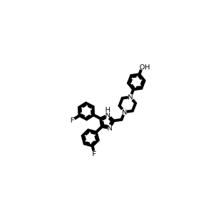 Oc1ccc(N2CCN(Cc3nc(-c4cccc(F)c4)c(-c4cccc(F)c4)[nH]3)CC2)cc1